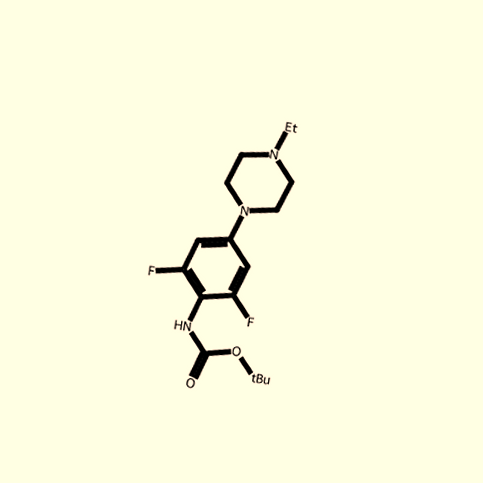 CCN1CCN(c2cc(F)c(NC(=O)OC(C)(C)C)c(F)c2)CC1